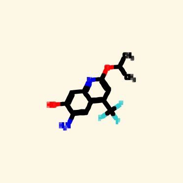 CC(C)Oc1cc(C(F)(F)F)c2cc(N)c(O)cc2n1